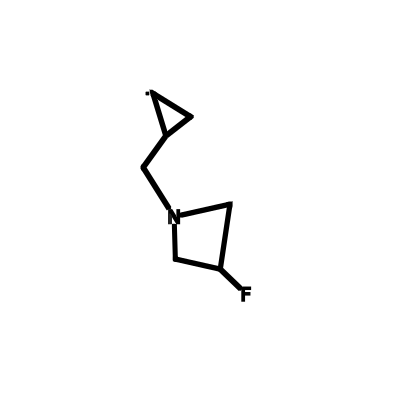 FC1CN(CC2[CH]C2)C1